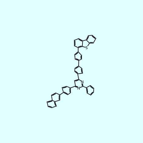 c1ccc(-c2nc(-c3ccc(-c4ccc(-c5cccc6c5sc5ccccc56)cc4)cc3)cc(-c3ccc(-c4ccc5ccccc5c4)cc3)n2)cc1